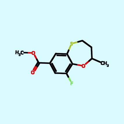 COC(=O)c1cc(F)c2c(c1)SCCC(C)O2